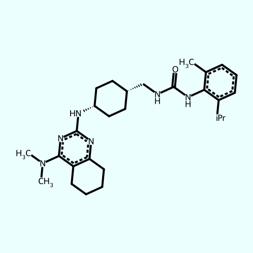 Cc1cccc(C(C)C)c1NC(=O)NC[C@H]1CC[C@@H](Nc2nc3c(c(N(C)C)n2)CCCC3)CC1